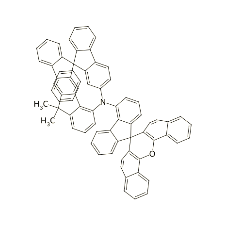 CC1(C)c2ccccc2-c2c(N(c3ccc4c(c3)C3(c5ccccc5-c5ccccc53)c3ccccc3-4)c3cccc4c3-c3ccccc3C43c4ccc5ccccc5c4Oc4c3ccc3ccccc43)cccc21